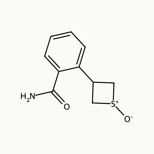 NC(=O)c1ccccc1C1C[S+]([O-])C1